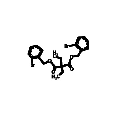 CCC(CC)(C(=O)OCc1ccccc1Br)C(=O)OCc1ccccc1Br